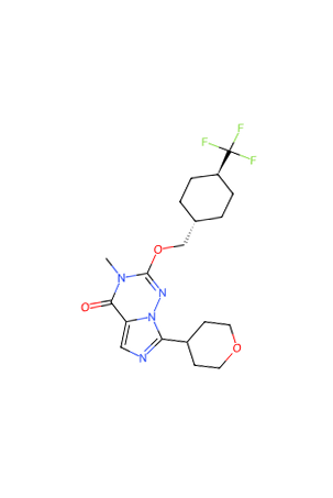 Cn1c(OC[C@H]2CC[C@H](C(F)(F)F)CC2)nn2c(C3CCOCC3)ncc2c1=O